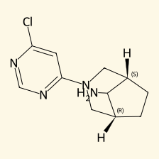 NC1[C@@H]2CC[C@H]1CN(c1cc(Cl)ncn1)C2